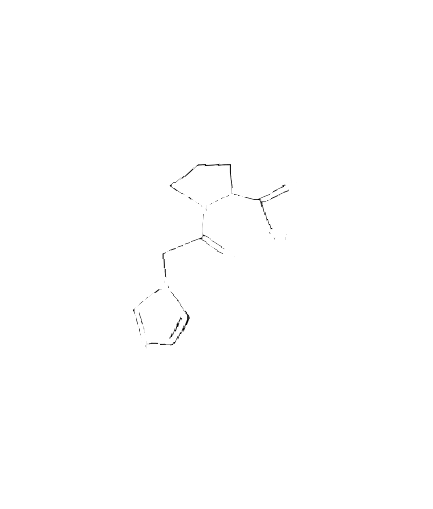 NC(=O)C1CCCN1C(=O)Cn1ccnc1